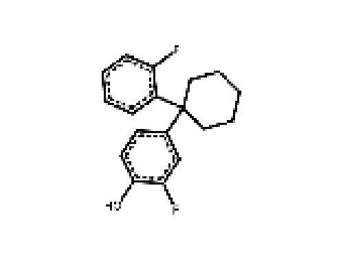 Oc1ccc(C2(c3ccccc3F)CCCCC2)cc1F